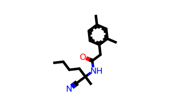 CCCCC(C)(C#N)NC(=O)Cc1ccc(C)cc1C